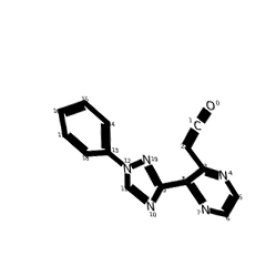 O=C=Cc1nccnc1-c1ncn(-c2ccccc2)n1